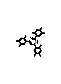 Cc1cc(C)c(-c2cc(-c3cc(C)c(C)cc3C)nc(-c3cc(C)c(C)cc3C)n2)cc1C